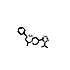 CC(C[C@H](N)c1ccccc1)N1CCC(c2nnnn2C(C)C)CC1